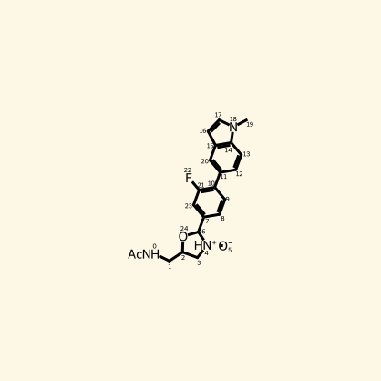 CC(=O)NCC1C[NH+]([O-])C(c2ccc(-c3ccc4c(ccn4C)c3)c(F)c2)O1